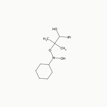 CC(C)C(O)C(C)(C)ON(O)C1CCCCC1